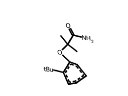 CC(C)(Oc1ccccc1C(C)(C)C)C(N)=O